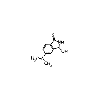 CN(C)c1ccc2c(c1)C(O)NC2=S